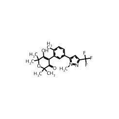 Cc1ccc(-c2cc(C(F)(F)F)nn2C)cc1C1=C(O)C(C)(C)OC(C)(C)C1=O